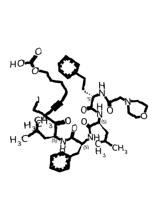 CC(C)C[C@H](NC(=O)[C@H](CCc1ccccc1)NC(=O)CN1CCOCC1)C(=O)N[C@@H](Cc1ccccc1)C(=O)N[C@@H](CC(C)C)C(=O)[C@](C)(C#CCCCCOC(=O)O)CI